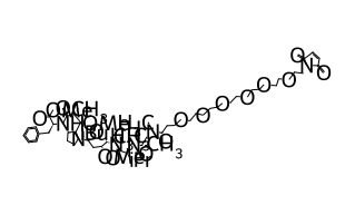 CC[C@H](C)[C@@H]([C@@H](CC(=O)N1CCC[C@H]1[C@H](OC)[C@@H](C)C(=O)N[C@@H](Cc1ccccc1)C(=O)OC)OC)N(C)C(=O)[C@@H](NC(=O)C(C)(C)N(C)C(=O)CCOCCOCCOCCOCCOCCOCCN1C(=O)C=CC1=O)C(C)C